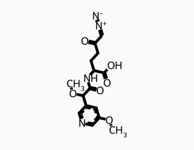 COc1cncc(C(OC)C(=O)NC(CCC(=O)C=[N+]=[N-])C(=O)O)c1